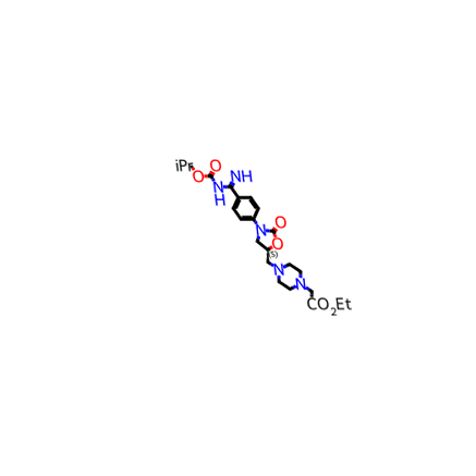 CCOC(=O)CN1CCN(C[C@H]2CN(c3ccc(C(=N)NC(=O)OC(C)C)cc3)C(=O)O2)CC1